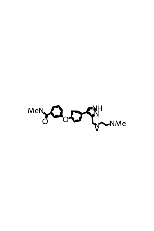 CNCCN(C)Cc1n[nH]cc1-c1ccc(Oc2cccc(C(=O)NC)c2)cc1